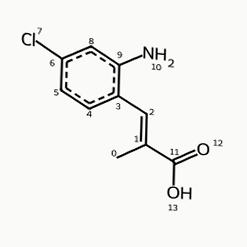 C/C(=C\c1ccc(Cl)cc1N)C(=O)O